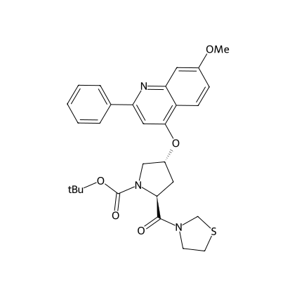 COc1ccc2c(O[C@@H]3C[C@@H](C(=O)N4CCSC4)N(C(=O)OC(C)(C)C)C3)cc(-c3ccccc3)nc2c1